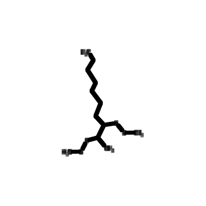 CCCCCCCC(SSC)C(C)SSC